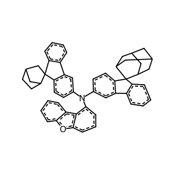 c1ccc2c(c1)-c1cc(N(c3ccc4c(c3)-c3ccccc3C43C4CC5CC(C4)CC3C5)c3cccc4oc5ccccc5c34)ccc1C21CC2CCC1C2